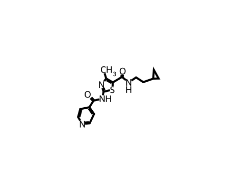 Cc1nc(NC(=O)c2ccncc2)sc1C(=O)NCCC1CC1